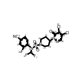 N#Cc1ccc(N(C(F)F)S(=O)(=O)N2CCC(n3ncc(Cl)c(Cl)c3=O)CC2)c(F)c1